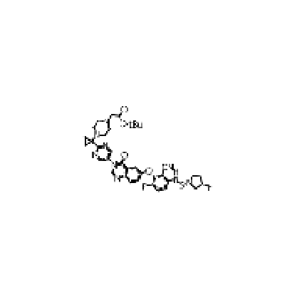 CC(C)(C)OC(=O)CN1CCN(C2(c3ncc(-n4cnc5ccc(Oc6c(F)ccc(NSN7CCC(F)C7)c6C#N)cc5c4=O)cn3)CC2)CC1